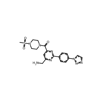 CS(=O)(=O)N1CCN(C(=O)c2cc(CN)nc(-c3ccc(-n4ccnn4)cc3)n2)CC1